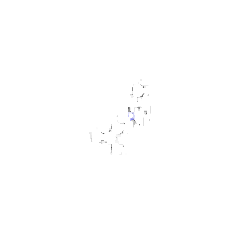 N=C(/N=C(\N)c1ccc2c3ccccc3c3ccccc3c2c1)c1ccccc1